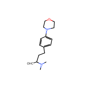 CN(C)C(C=O)CCc1ccc(N2CCOCC2)cc1